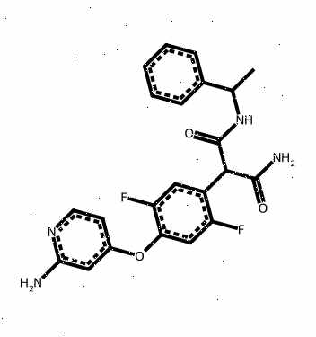 CC(NC(=O)C(C(N)=O)c1cc(F)c(Oc2ccnc(N)c2)cc1F)c1ccccc1